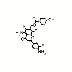 CN1CCN(C(=O)OCc2c(F)c(N)c3c(=O)cc(-c4ccc(N)c(F)c4)oc3c2F)CC1